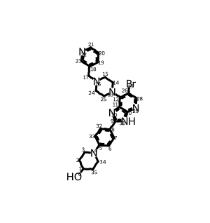 OC1CCN(c2ccc(-c3nc4c(N5CCN(Cc6cccnc6)CC5)c(Br)cnc4[nH]3)cc2)CC1